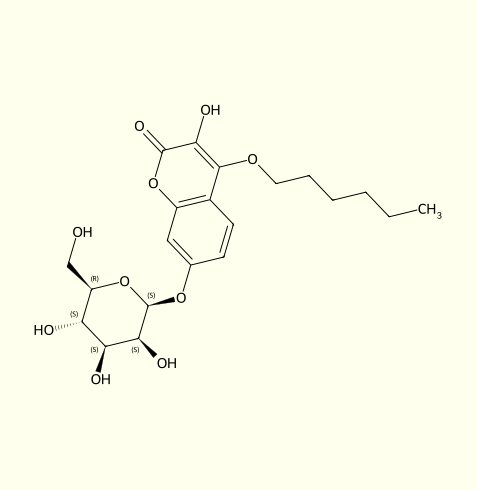 CCCCCCOc1c(O)c(=O)oc2cc(O[C@@H]3O[C@H](CO)[C@@H](O)[C@H](O)[C@@H]3O)ccc12